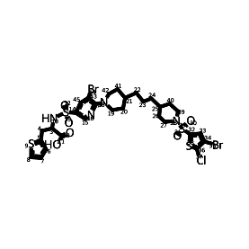 O=C(O)C(Cc1cccs1)NS(=O)(=O)c1cnc(N2CCC(CCCC3CCN(S(=O)(=O)c4cc(Br)c(Cl)s4)CC3)CC2)c(Br)c1